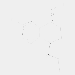 CCC(=O)N1CCC(=NO)c2cc(Br)ccc21